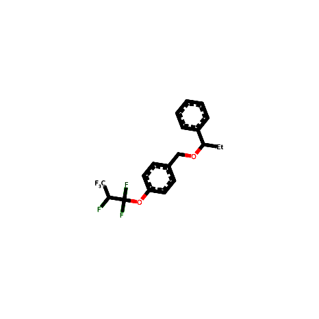 CCC(OCc1ccc(OC(F)(F)C(F)C(F)(F)F)cc1)c1ccccc1